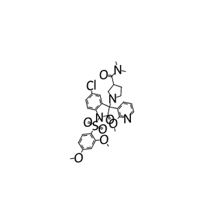 COc1ccc(S(=O)(=O)N2C(=O)C(c3cccnc3OC)(N3CCC(C(=O)N(C)C)C3)c3cc(Cl)ccc32)c(OC)c1